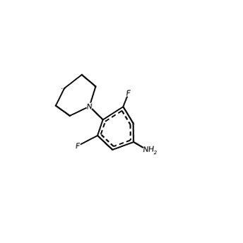 Nc1cc(F)c(N2CC[CH]CC2)c(F)c1